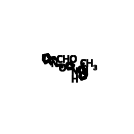 Cc1cc(Nc2cccc(OCCN3Cc4ccccc4CC3C=O)c2)c2ccccc2n1